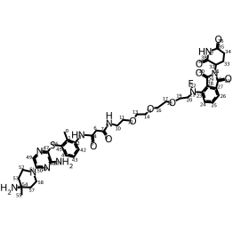 Cc1c(NC(=O)CC(=O)NCCOCCOCCOCCN(F)c2cccc3c2C(=O)N(C2CCC(=O)NC2=O)C3=O)cccc1Sc1ncc(N2CCC(C)(N)CC2)nc1N